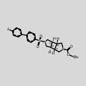 CC(C)(C)OC(=O)N1C[C@@H]2[C@H](C1)[C@H]1CN(S(=O)(=O)c3ccc(-c4ccc(F)cc4)cc3)C[C@@H]21